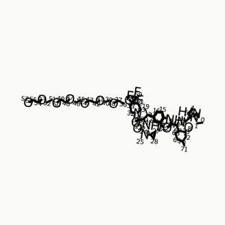 CCn1nccc1C(=O)N[C@H](C(=O)Nc1ccc([C@H](C)[C@@H](NC(=O)N(C)C2CC2)C(=O)N2CCC(OCCOCCOCCOCCOCCOCCOCCOC)(C(F)(F)F)CC2)cc1F)C1CCC(C)CC1